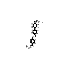 C=Cc1ccc(COc2ccc(C3CCC(CCCCC)CC3)cc2)cc1